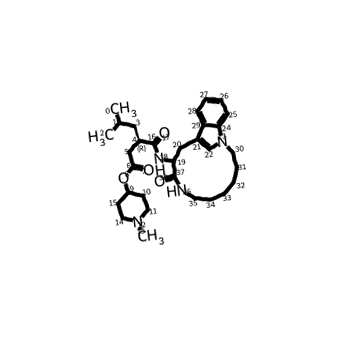 CC(C)C[C@H](CC(=O)OC1CCN(C)CC1)C(=O)NC1Cc2cn(c3ccccc23)CCCCCCNC1=O